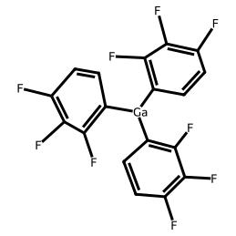 Fc1cc[c]([Ga]([c]2ccc(F)c(F)c2F)[c]2ccc(F)c(F)c2F)c(F)c1F